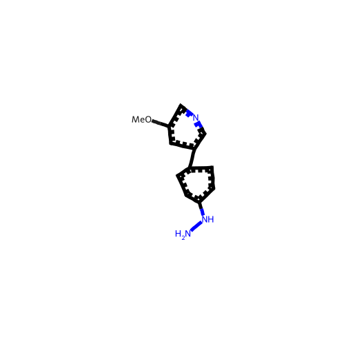 COc1cncc(-c2ccc(NN)cc2)c1